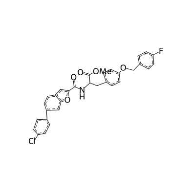 COC(=O)C(Cc1ccc(OCc2ccc(F)cc2)cc1)NC(=O)c1cc2ccc(-c3ccc(Cl)cc3)cc2o1